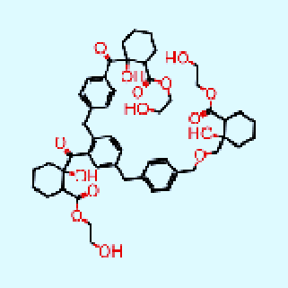 O=C(OCCO)C1CCCCC1(O)COCc1ccc(Cc2ccc(Cc3ccc(C(=O)C4(O)CCCCC4C(=O)OCCO)cc3)c(C(=O)C3(O)CCCCC3C(=O)OCCO)c2)cc1